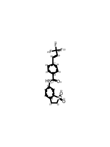 O=C(Nc1ccc2c(c1)S(=O)(=O)CC2)c1ccc(/C=C/C(F)(F)F)cc1